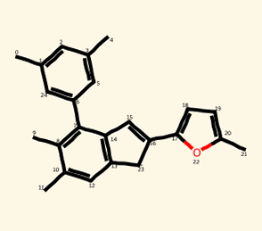 Cc1cc(C)cc(-c2c(C)c(C)cc3c2C=C(c2ccc(C)o2)[CH]3)c1